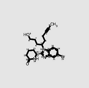 CC#CCCC(CCCO)n1c([C@@H]2CCCC(=O)N2)nc2cc(Br)ccc21